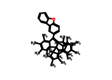 BC1=C(B)C2=C(c3ccc4oc5ccccc5c4c3)c3c(B)c(B)c(B)c(B)c3C2(C2(B)C(B)=C(B)C(B)=C2c2c(B)c(B)c(B)c(B)c2B)C(B)=C1B